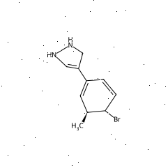 C[C@H]1C=C(C2=CNNC2)C=CC1Br